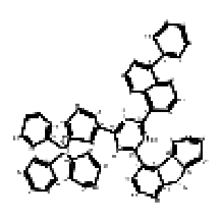 c1ccc(-c2cccc3c(-c4nc(-c5cccc([Si](c6ccccc6)(c6ccccc6)c6ccccc6)c5)nc(-c5cccc6sc7ccccc7c56)n4)cccc23)cc1